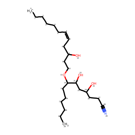 CCCCCC/C=C\CC(O)CCOC(CCCCCC)C(O)CC(O)CCC#N